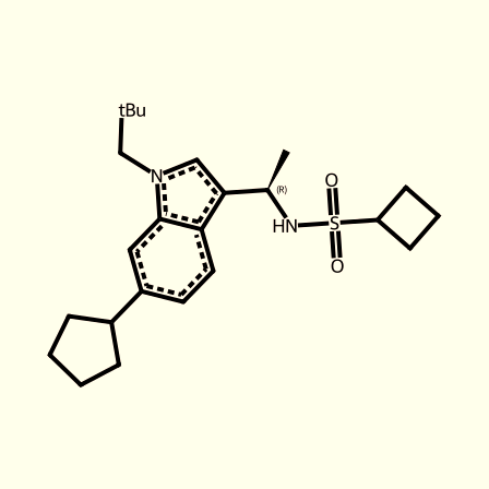 C[C@@H](NS(=O)(=O)C1CCC1)c1cn(CC(C)(C)C)c2cc(C3CCCC3)ccc12